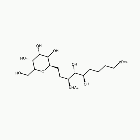 CCCCCCCCCCCCCC[C@@H](O)[C@@H](O)[C@H](CC[C@H]1OC(CO)[C@H](O)[C@H](O)C1O)NC(C)=O